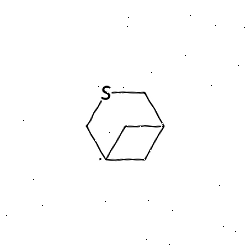 C1SCC2C[C]1C2